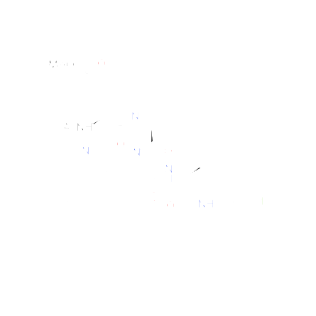 COC(=O)CC[C@H](NC(C)=O)C(=O)N1CCCC[C@H]1C(=O)NC(Cc1c[nH]c2ccccc12)C(=O)N[C@@H](Cc1ccc(F)cc1)C(=O)NCc1ccc(C)cc1